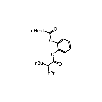 CCCCCCCC(=O)Oc1ccccc1OC(=O)C(CCC)CCCC